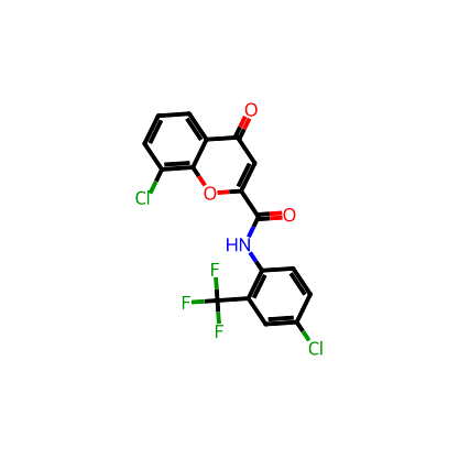 O=C(Nc1ccc(Cl)cc1C(F)(F)F)c1cc(=O)c2cccc(Cl)c2o1